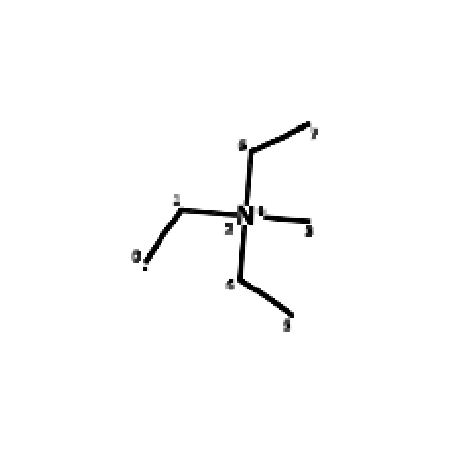 [CH2]C[N+](C)(CC)CC